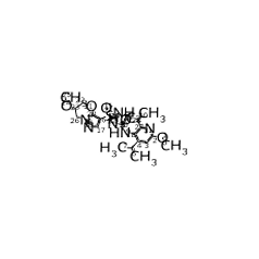 COc1cc(C(C)C)c(NC(=O)N=S(N)(=O)c2cnn3c2OCC(OC)C3)c(C(C)C)n1